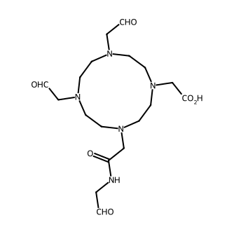 O=CCNC(=O)CN1CCN(CC=O)CCN(CC=O)CCN(CC(=O)O)CC1